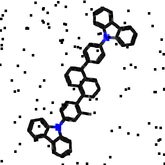 Cc1cc(-n2c3ccccc3c3ccccc32)ccc1C1=c2cccc(-c3ccc(-n4c5ccccc5c5ccccc54)cc3)c2=CCC1